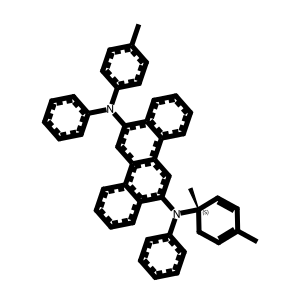 CC1=CC[C@](C)(N(c2ccccc2)c2cc3c4ccccc4c(N(c4ccccc4)c4ccc(C)cc4)cc3c3ccccc23)C=C1